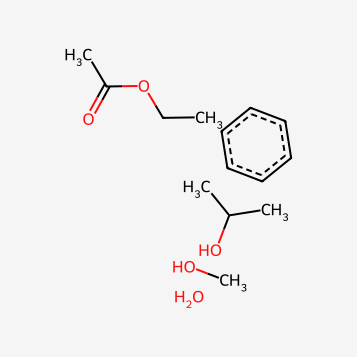 CC(C)O.CCOC(C)=O.CO.O.c1ccccc1